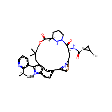 CCn1c(-c2cccnc2[C@H](C)OC)c2c3cc(ccc31)-c1csc(n1)C[C@H](NC(=O)[C@@H]1CC1C#N)C(=O)N1CCC[C@H](N1)C(=O)OCC(C)(C)C2